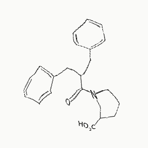 O=C(O)C1CCCN1C(=O)C(Cc1ccccc1)Cc1ccccc1